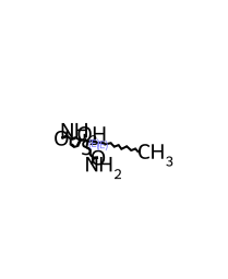 CCCCCCCCC/C=C/C=C/C(SCCC(N)=O)C(O)c1cccc(C(N)=O)c1